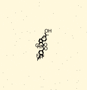 C[C@H](CO)N1C=Cc2c(ccc(Cl)c2C(=O)NC(=O)c2ccc(C(F)(F)F)c(F)c2)C1